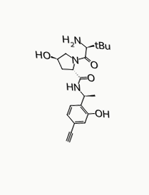 C#Cc1ccc([C@H](C)NC(=O)[C@@H]2C[C@@H](O)CN2C(=O)[C@@H](N)C(C)(C)C)c(O)c1